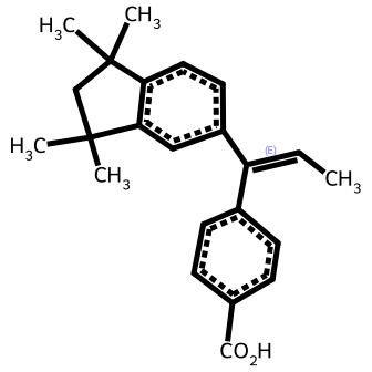 C/C=C(\c1ccc(C(=O)O)cc1)c1ccc2c(c1)C(C)(C)CC2(C)C